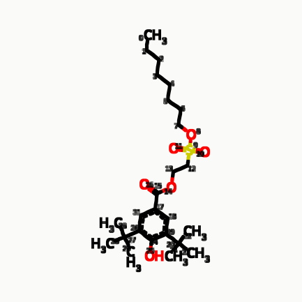 CCCCCCCCOS(=O)(=O)CCOC(=O)c1cc(C(C)(C)C)c(O)c(C(C)(C)C)c1